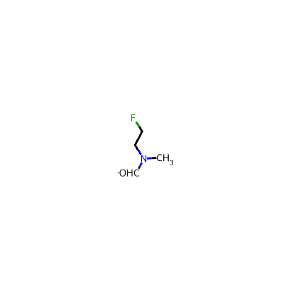 CN([C]=O)CCF